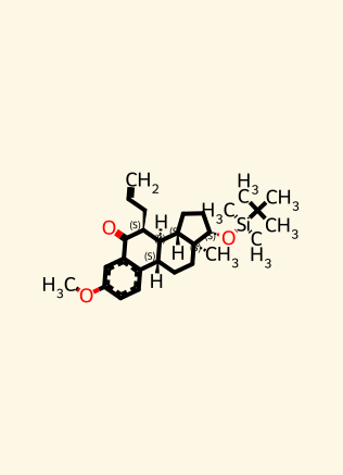 C=CC[C@@H]1C(=O)c2cc(OC)ccc2[C@H]2CC[C@]3(C)[C@@H](O[Si](C)(C)C(C)(C)C)CC[C@H]3[C@H]12